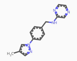 Cc1cnn(-c2ccc(CNc3cnccn3)cc2)c1